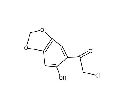 O=C(CCl)c1cc2c(cc1O)OCO2